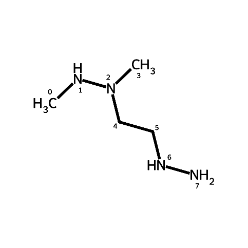 CNN(C)CCNN